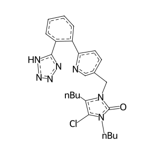 CCCCc1c(Cl)n(CCCC)c(=O)n1Cc1ccc(-c2ccccc2-c2nnn[nH]2)nc1